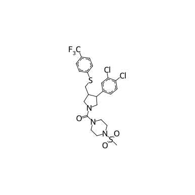 CS(=O)(=O)N1CCN(C(=O)N2CC(CSc3ccc(C(F)(F)F)cc3)C(c3ccc(Cl)c(Cl)c3)C2)CC1